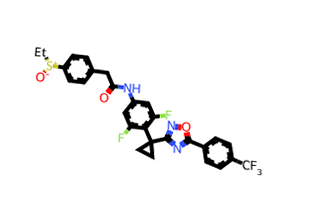 CC[S+]([O-])c1ccc(CC(=O)Nc2cc(F)c(C3(c4noc(-c5ccc(C(F)(F)F)cc5)n4)CC3)c(F)c2)cc1